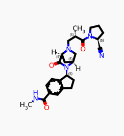 CNC(=O)c1ccc2c(c1)CC[C@@H]2N1C(=O)[C@@H]2C[C@H]1CN2C[C@H](C)C(=O)N1CCC[C@H]1C#N